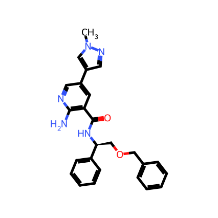 Cn1cc(-c2cnc(N)c(C(=O)N[C@@H](COCc3ccccc3)c3ccccc3)c2)cn1